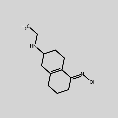 CCNC1CCC2=C(CCCC2=NO)C1